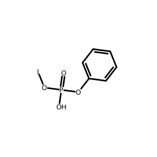 O=P(O)(OI)Oc1ccccc1